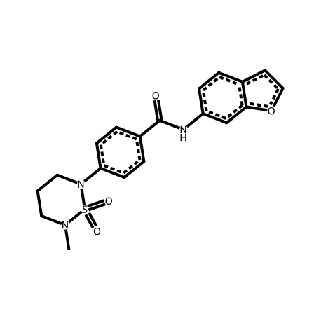 CN1CCCN(c2ccc(C(=O)Nc3ccc4ccoc4c3)cc2)S1(=O)=O